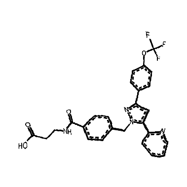 O=C(O)CCNC(=O)c1ccc(Cn2nc(-c3ccc(OC(F)(F)F)cc3)cc2-c2ccccn2)cc1